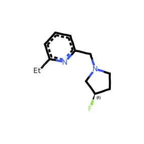 CCc1cccc(CN2CC[C@@H](F)C2)n1